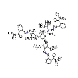 CCN(CC)C(=O)c1ccccc1/N=N/C(C(=N)C(C)(C)C)=C(\N)Nc1nc(-n2nc(C(C)(C)C)c(/N=N/c3ccccc3C(=O)N(CC)CC)c2N)nc(-n2nc(C(C)(C)C)c(/N=N/c3ccccc3C(=O)N(CC)CC)c2N)n1